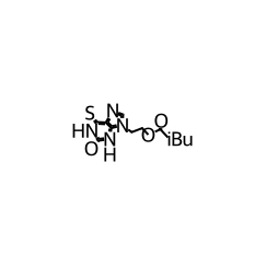 CCC(C)C(=O)OCCn1cnc2c(=S)[nH]c(=O)[nH]c21